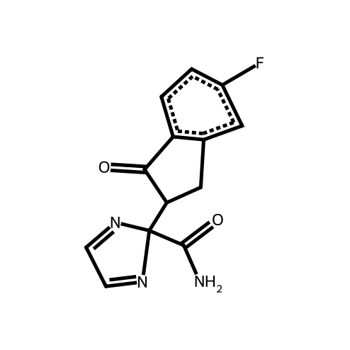 NC(=O)C1(C2Cc3cc(F)ccc3C2=O)N=CC=N1